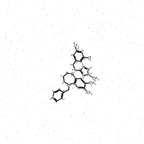 Cc1cc2c(cc1C(F)(F)F)N(Cc1ccncc1)CCC[C@@H]2N(Cc1cc(Cl)cc(C(F)(F)F)c1)c1nnn(C)n1